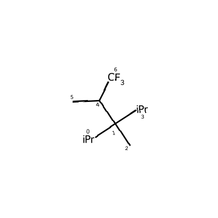 CC(C)C(C)(C(C)C)C(C)C(F)(F)F